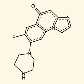 O=c1cc2sccn2c2cc(N3CCNCC3)c(F)cc12